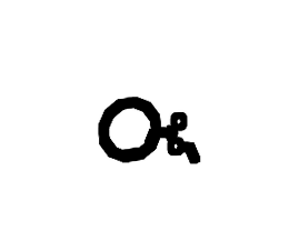 CCOC(=O)C1=CC=CCCCCCCCC1